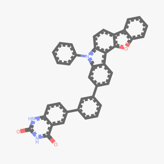 O=c1[nH]c(=O)c2cc(-c3cccc(-c4ccc5c6c7oc8ccccc8c7ccc6n(-c6ccccc6)c5c4)c3)ccc2[nH]1